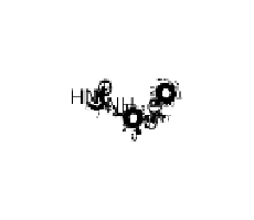 Cc1cc(CNC2CCNC2=O)ccc1OC(C)Oc1ccccc1